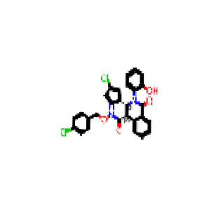 O=C(NOCc1ccc(Cl)cc1)[C@@H]1c2ccccc2C(=O)N(c2ccccc2O)[C@H]1C1C=CC(Cl)=C1